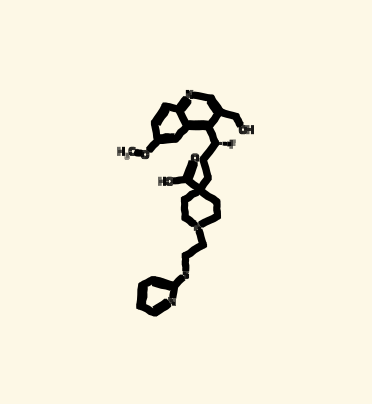 COc1ccc2ncc(CO)c([C@H](F)CCC3(C(=O)O)CCN(CCSc4ccccn4)CC3)c2c1